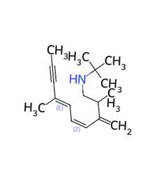 C=C(/C=C\C=C(/C)C#CC)C(C)CNC(C)(C)C